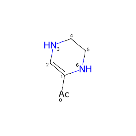 CC(=O)C1=CNCCN1